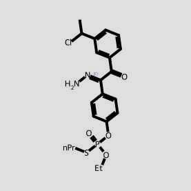 CCCSP(=O)(OCC)Oc1ccc(/C(=N\N)C(=O)c2cccc(C(C)Cl)c2)cc1